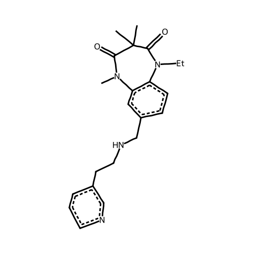 CCN1C(=O)C(C)(C)C(=O)N(C)c2cc(CNCCc3cccnc3)ccc21